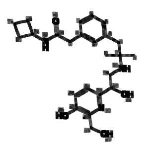 CC(C)(Cc1cccc(CC(=O)NC2CCC2)c1)NCC(O)c1ccc(O)c(CO)n1